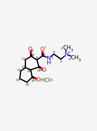 CN(C)CCNC(=O)C1C(=O)CC2CCCC(=O)C2C1=O.Cl